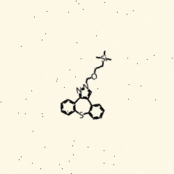 C[Si](C)(C)CCOCn1cc2c(n1)-c1ccccc1Sc1ccccc1-2